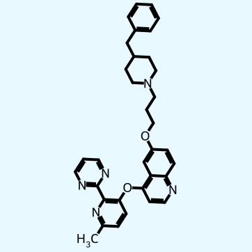 Cc1ccc(Oc2ccnc3ccc(OCCCN4CCC(Cc5ccccc5)CC4)cc23)c(-c2ncccn2)n1